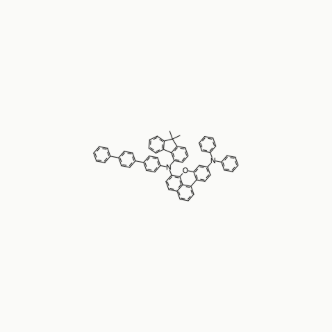 CC1(C)c2ccccc2-c2c(N(c3ccc(-c4ccc(-c5ccccc5)cc4)cc3)c3ccc4cccc5c4c3Oc3cc(N(c4ccccc4)c4ccccc4)ccc3-5)cccc21